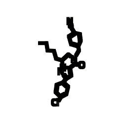 CCCCCC1CN(Cc2ccc(C#N)cc2)C(=O)c2cc(-c3ccc(Cl)cc3)nn21